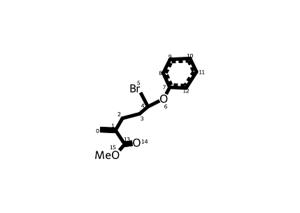 C=C(CCC(Br)Oc1ccccc1)C(=O)OC